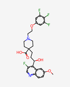 COc1ccc2ncc(F)c([C@H](O)CCC3(C(=O)O)CCN(CCOc4cc(F)c(F)c(F)c4)CC3)c2c1